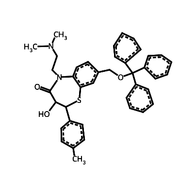 Cc1ccc(C2Sc3cc(COC(c4ccccc4)(c4ccccc4)c4ccccc4)ccc3N(CCN(C)C)C(=O)C2O)cc1